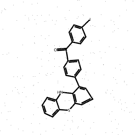 O=C(c1ccc(I)cc1)c1ccc(-c2cccc3c2Nc2ccccc2S3)cc1